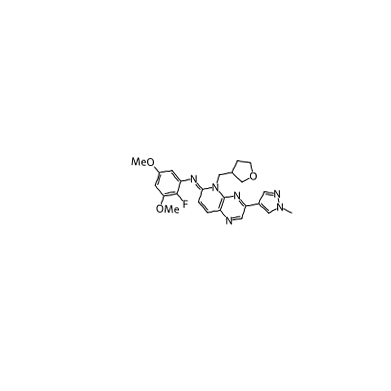 COc1cc(/N=c2\ccc3ncc(-c4cnn(C)c4)nc3n2CC2CCOC2)c(F)c(OC)c1